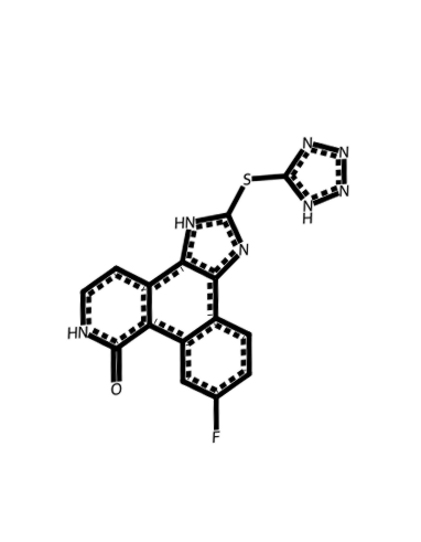 O=c1[nH]ccc2c3[nH]c(Sc4nnn[nH]4)nc3c3ccc(F)cc3c12